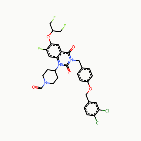 O=CN1CCC(n2c(=O)n(Cc3ccc(OCc4ccc(Cl)c(Cl)c4)cc3)c(=O)c3cc(OC(CF)CF)c(F)cc32)CC1